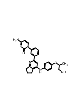 CC(CN=O)Oc1ccc(Nc2cc(-c3cccc(-n4ccc(N)nc4=O)c3)nc3c2CCC3)cc1